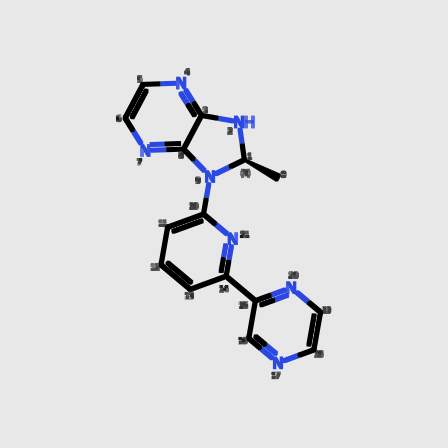 C[C@@H]1Nc2nccnc2N1c1cccc(-c2cnccn2)n1